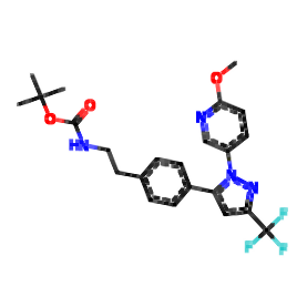 COc1ccc(-n2nc(C(F)(F)F)cc2-c2ccc(CCNC(=O)OC(C)(C)C)cc2)cn1